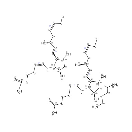 CC/C=C\C[C@H](O)/C=C/[C@@H]1[C@@H](C/C=C\CCCC(=O)O)[C@H](O)C[C@H]1O.CC/C=C\C[C@H](O)/C=C/[C@@H]1[C@@H](C/C=C\CCCC(=O)O)[C@H](O)C[C@H]1O.NCCCCN